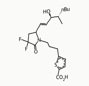 CCCC[C@H](C)[C@H](O)C=CC1CC(F)(F)C(=O)N1CCCc1ccc(C(=O)O)s1